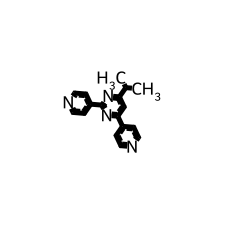 CC(C)c1cc(-c2ccncc2)nc(-c2ccncc2)n1